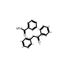 CCCC(=O)c1ccccc1.O=C(Cc1ccccc1)c1ccccc1